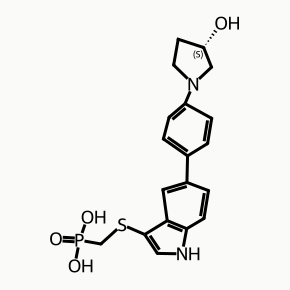 O=P(O)(O)CSc1c[nH]c2ccc(-c3ccc(N4CC[C@H](O)C4)cc3)cc12